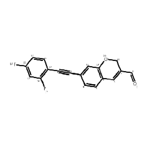 O=CC1=Cc2ccc(C#Cc3ccc(F)cc3F)cc2OC1